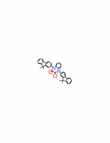 CC1(C)c2ccccc2-c2ccc(-n3c(=O)c(=O)n(-c4ccc5c(c4)C(C)(C)c4ccccc4-5)c4ccccc43)cc21